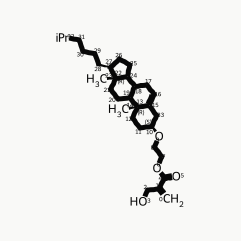 C=C(CO)C(=O)OCCO[C@H]1CC[C@@]2(C)C(=CCC3C2CC[C@@]2(C)C3CC[C@@H]2CCCCC(C)C)C1